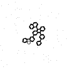 c1ccc(-c2cccc(-c3c4ccccc4c(-c4cccc5ccccc45)c4ccc(-c5ccc6oc7ccccc7c6c5)cc34)c2)cc1